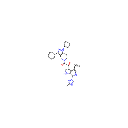 COc1cnc(-n2cnc(C)n2)c2[nH]cc(C(=O)C(=O)N3CCc4c(c(-c5ccccc5)nn4-c4ccccc4)C3)c12